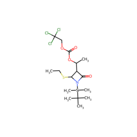 CCSC1C(C(C)OC(=O)OCC(Cl)(Cl)Cl)C(=O)N1[Si](C)(C)C(C)(C)C